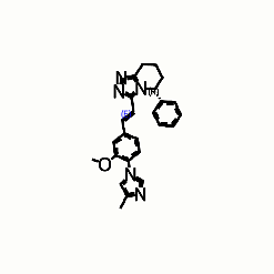 COc1cc(/C=C/c2nnc3n2[C@@H](c2ccccc2)CCC3)ccc1-n1cnc(C)c1